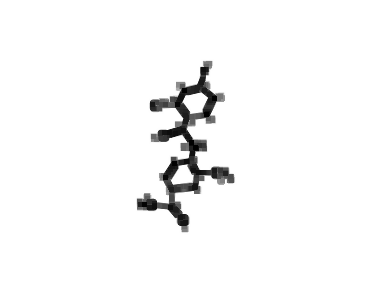 Cc1cc(C(=O)O)ccc1NC(=O)c1ccc(F)cc1Cl